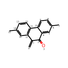 C=C1C(=O)c2cc(C)ccc2-c2ccc(C)cc21